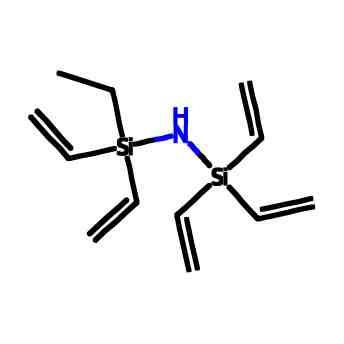 C=C[Si](C=C)(C=C)N[Si](C=C)(C=C)CC